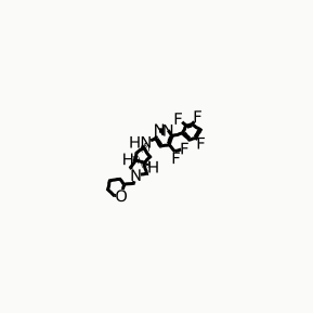 Fc1cc(F)c(F)c(-c2nnc(N[C@@H]3C[C@@H]4CN(CC5CCCCO5)C[C@@H]4C3)cc2C(F)F)c1